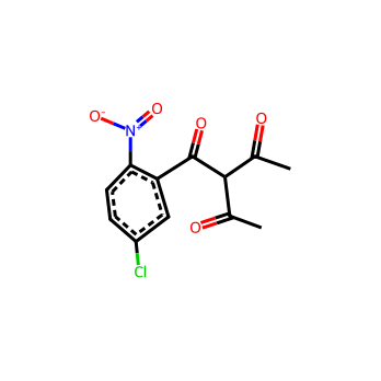 CC(=O)C(C(C)=O)C(=O)c1cc(Cl)ccc1[N+](=O)[O-]